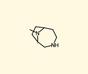 CN1[C]2CCC1CCNC2